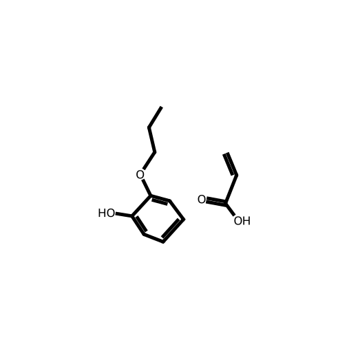 C=CC(=O)O.CCCOc1ccccc1O